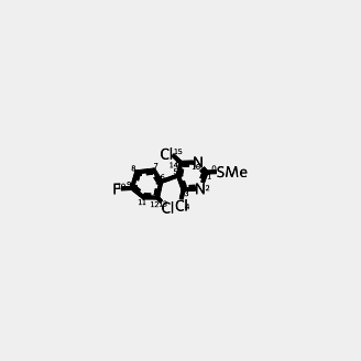 CSc1nc(Cl)c(-c2ccc(F)cc2Cl)c(Cl)n1